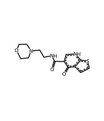 O=C(NCCN1CCOCC1)c1c[nH]c2sccc2c1=O